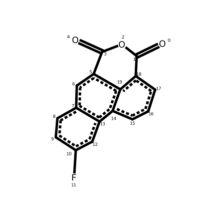 O=C1OC(=O)c2cc3ccc(F)cc3c3cccc1c23